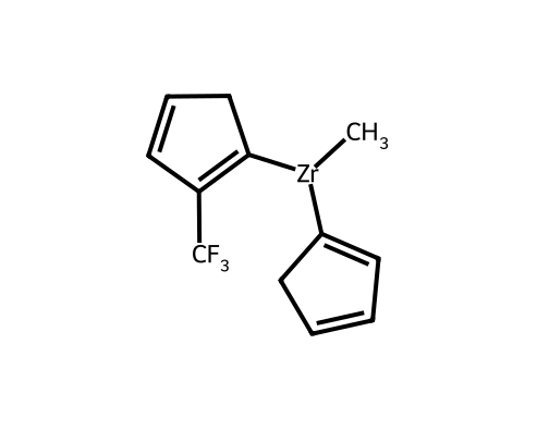 [CH3][Zr]([C]1=CC=CC1)[C]1=C(C(F)(F)F)C=CC1